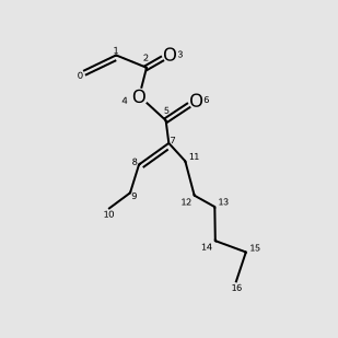 C=CC(=O)OC(=O)C(=CCC)CCCCCC